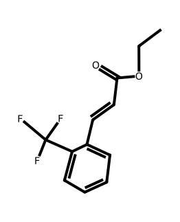 CCOC(=O)/C=C/c1ccccc1C(F)(F)F